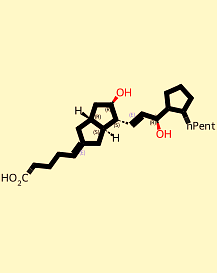 CCCCCC1CCCC1[C@@H](O)/C=C/[C@@H]1[C@H]2C/C(=C/CCCC(=O)O)C[C@@H]2C[C@H]1O